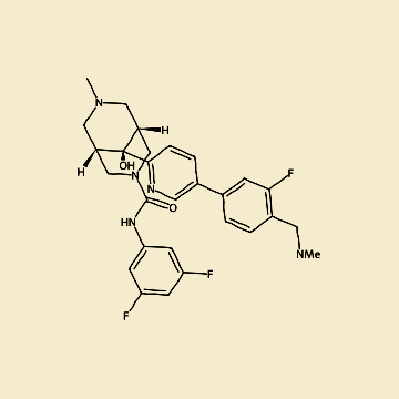 CNCc1ccc(-c2ccc([C@@]3(O)[C@@H]4CN(C)C[C@H]3CN(C(=O)Nc3cc(F)cc(F)c3)C4)nc2)cc1F